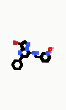 [O-][n+]1cccc(CNc2cc(C3CCCCC3)nc3c(Br)cnn23)c1